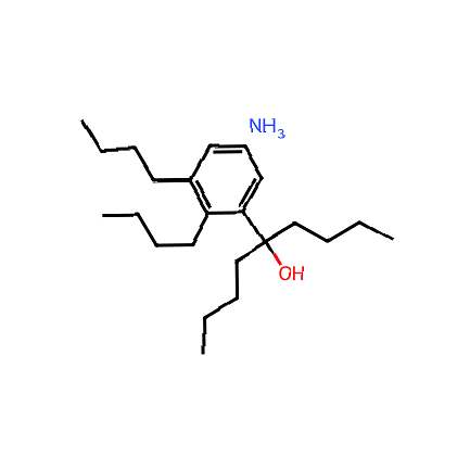 CCCCc1cccc(C(O)(CCCC)CCCC)c1CCCC.N